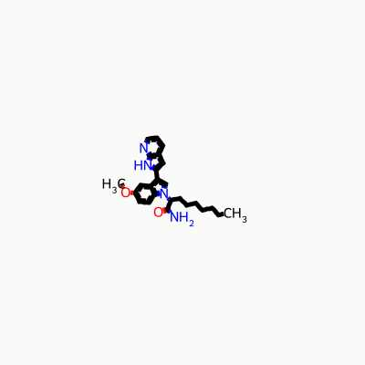 CCCCCCCC(C(N)=O)n1cc(-c2cc3cccnc3[nH]2)c2cc(OC)ccc21